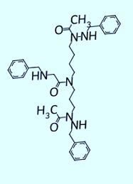 CC(=O)N(CCCCN(CCCN(NCc1ccccc1)C(C)=O)C(=O)CNCc1ccccc1)NCc1ccccc1